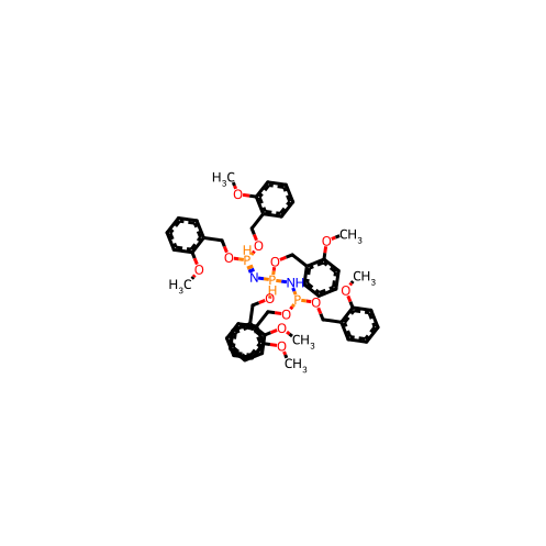 COc1ccccc1COP(N[PH](N=[PH](OCc1ccccc1OC)OCc1ccccc1OC)(OCc1ccccc1OC)OCc1ccccc1OC)OCc1ccccc1OC